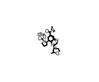 CC1CN(c2cnc3cc(C(=O)N(C)C)cc(C4C=CCN4C(=O)OC(C)(C)C)c3n2)CCO1